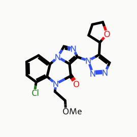 COCCn1c(=O)c2c(-n3nncc3C3CCCO3)ncn2c2cccc(Cl)c21